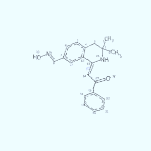 CC1(C)Cc2ccc(C=NO)cc2/C(=C/C(=O)c2ccccc2)N1